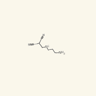 N#CC(C#N)CNCCCN